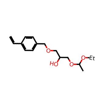 C=Cc1ccc(COCC(O)COC(C)OCC)cc1